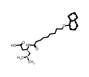 CN(C)C[C@@H](CC(=O)O)NC(=O)CCCCCCCCOc1cccc2ccccc12